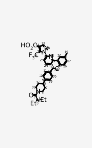 CCN(CC)C(=O)N1CCC(c2ccc(COc3ccc(C)cc3-c3cccc(-n4ncc(C(=O)O)c4C(F)(F)F)n3)cc2)CC1